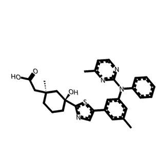 Cc1cc(-c2cnc([C@]3(O)CCC[C@@](C)(CC(=O)O)C3)s2)cc(N(c2ccccc2)c2nccc(C)n2)c1